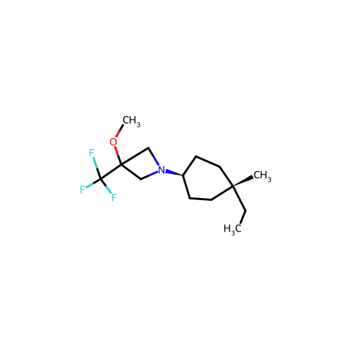 CC[C@]1(C)CC[C@@H](N2CC(OC)(C(F)(F)F)C2)CC1